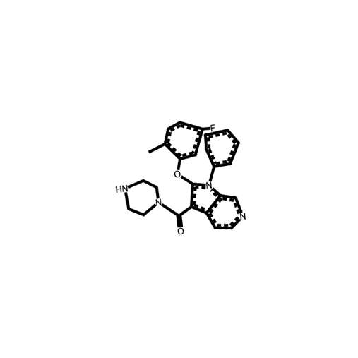 Cc1ccc(F)cc1Oc1c(C(=O)N2CCNCC2)c2ccncc2n1-c1ccccc1